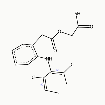 C/C=C(Cl)\C(Nc1ccccc1CC(=O)OCC(=O)S)=C(/C)Cl